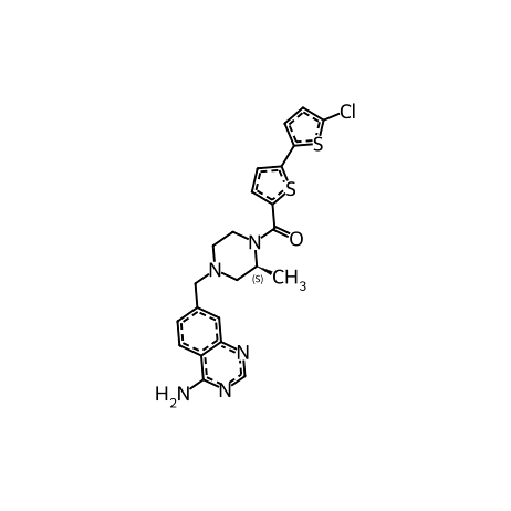 C[C@H]1CN(Cc2ccc3c(N)ncnc3c2)CCN1C(=O)c1ccc(-c2ccc(Cl)s2)s1